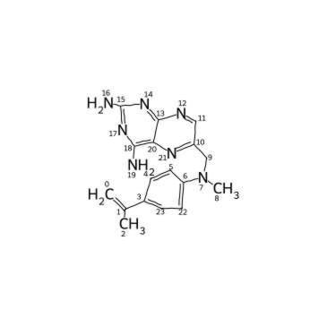 C=C(C)c1ccc(N(C)Cc2cnc3nc(N)nc(N)c3n2)cc1